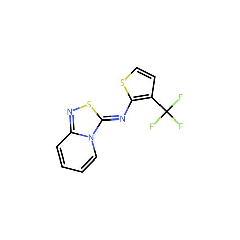 FC(F)(F)c1ccsc1N=c1snc2ccccn12